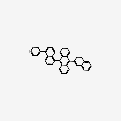 c1ccc2cc(-c3c4ccccc4c(-c4cccc5c(-c6ccncc6)cccc45)c4ccccc34)ccc2c1